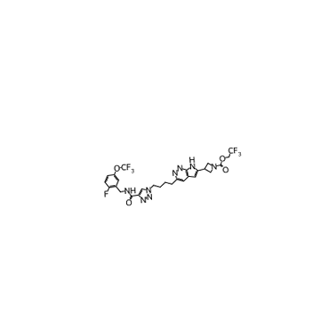 O=C(NCc1cc(OC(F)(F)F)ccc1F)c1cn(CCCCc2cc3cc(C4CN(C(=O)OCC(F)(F)F)C4)[nH]c3nn2)nn1